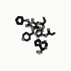 CCC(=O)O[C@@H]1[C@H](OC(=O)CC)[C@@H](CO[P@](=O)(N[C@@H](C)C(=O)OCC2CCOCC2)Oc2ccccc2)O[C@H]1c1ccc2c(N)ncnn12